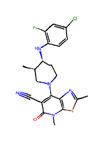 Cc1nc2c(N3CC[C@H](Nc4ccc(Cl)cc4F)[C@H](C)C3)c(C#N)c(=O)n(C)c2s1